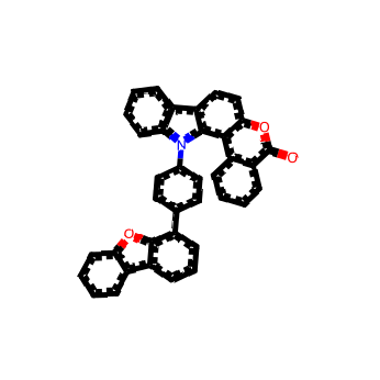 O=c1oc2ccc3c4ccccc4n(-c4ccc(-c5cccc6c5oc5ccccc56)cc4)c3c2c2ccccc12